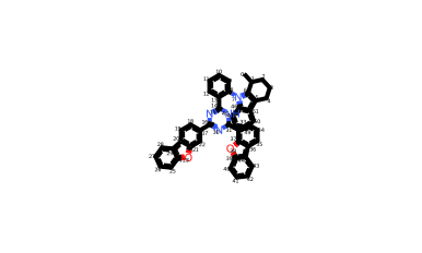 CC1CCCc2c1n(-c1ccccc1C1=NC(c3ccc4c(c3)oc3ccccc34)=NC(c3cccc4c3oc3ccccc34)N1)c1ccccc21